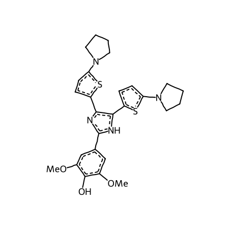 COc1cc(-c2nc(-c3ccc(N4CCCC4)s3)c(-c3ccc(N4CCCC4)s3)[nH]2)cc(OC)c1O